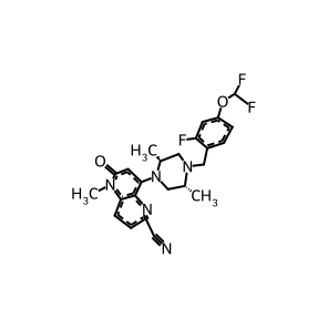 C[C@@H]1CN(c2cc(=O)n(C)c3ccc(C#N)nc23)[C@@H](C)CN1Cc1ccc(OC(F)F)cc1F